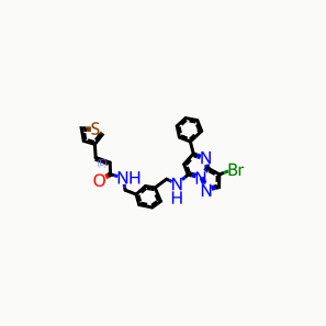 O=C(/C=C/c1ccsc1)NCc1cccc(CNc2cc(-c3ccccc3)nc3c(Br)cnn23)c1